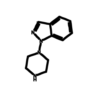 [c]1nn(N2CCNCC2)c2ccccc12